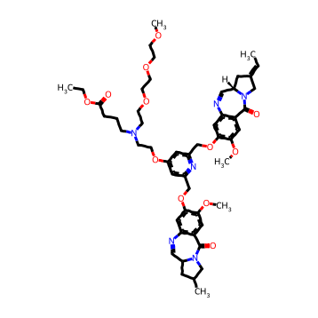 C/C=C1\C[C@H]2C=Nc3cc(OCc4cc(OCCN(CCCC(=O)OCC)CCOCCOCCOC)cc(COc5cc6c(cc5OC)C(=O)N5CC(C)CC5C=N6)n4)c(OC)cc3C(=O)N2C1